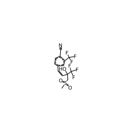 CS(=O)(=O)CC(O)(/C=C\c1ccc(C#N)c(C(F)(F)F)c1)C(F)(F)F